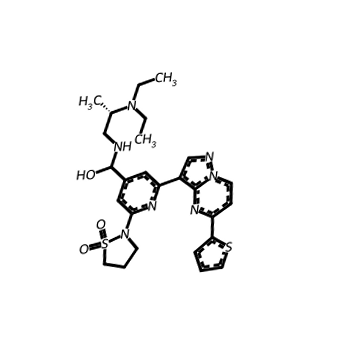 CCN(CC)[C@@H](C)CNC(O)c1cc(-c2cnn3ccc(-c4cccs4)nc23)nc(N2CCCS2(=O)=O)c1